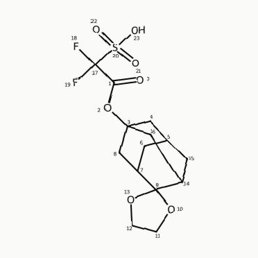 O=C(OC12CC3CC(C1)C1(OCCO1)C(C3)C2)C(F)(F)S(=O)(=O)O